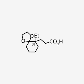 CC[C@]1(CCC(=O)O)CCCCC12OCCO2